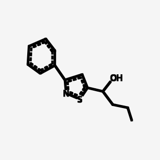 CCCC(O)c1cc(-c2ccccc2)ns1